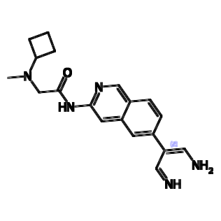 CN(CC(=O)Nc1cc2cc(/C(C=N)=C/N)ccc2cn1)C1CCC1